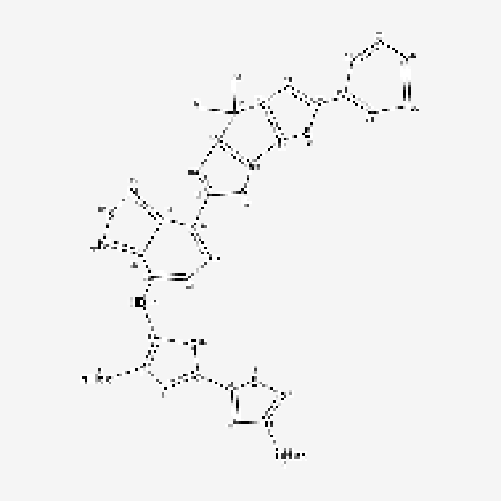 CCCCCCc1csc(-c2cc(CCCCCC)c(Bc3ccc(-c4cc5c(s4)-c4sc(-c6ccccc6)cc4C5(C)C)c4nsnc34)s2)c1